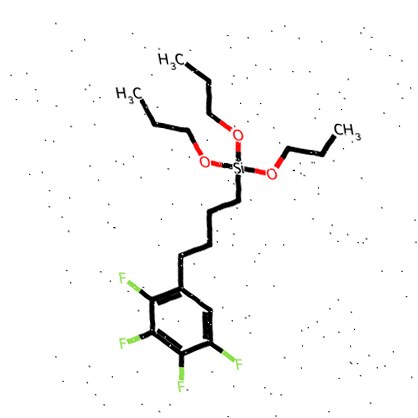 CCCO[Si](CCCCc1cc(F)c(F)c(F)c1F)(OCCC)OCCC